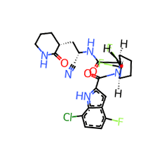 N#C[C@H](C[C@H]1CCCNC1=O)NC(=O)[C@@H]1[C@H]2CC[C@H](CC2(F)F)N1C(=O)c1cc2c(F)ccc(Cl)c2[nH]1